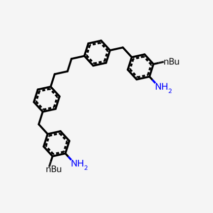 CCCCc1cc(Cc2ccc(CCCc3ccc(Cc4ccc(N)c(CCCC)c4)cc3)cc2)ccc1N